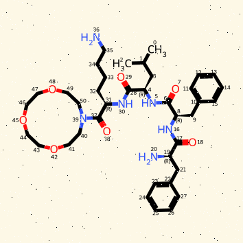 CC(C)C[C@@H](NC(=O)[C@@H](Cc1ccccc1)NC(=O)[C@H](N)Cc1ccccc1)C(=O)N[C@H](CCCCN)C(=O)N1CCOCCOCCOCC1